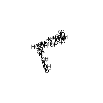 CC(=O)O.CC(=O)O.CC(=O)O.CC(=O)O.C[N+](C)(C)CCO.C[N+](C)(C)CCO.C[N+](C)(C)CCO.C[N+](C)(C)CCO.O=C([O-])CC(O)(CC(=O)[O-])C(=O)[O-].O=C[O-]